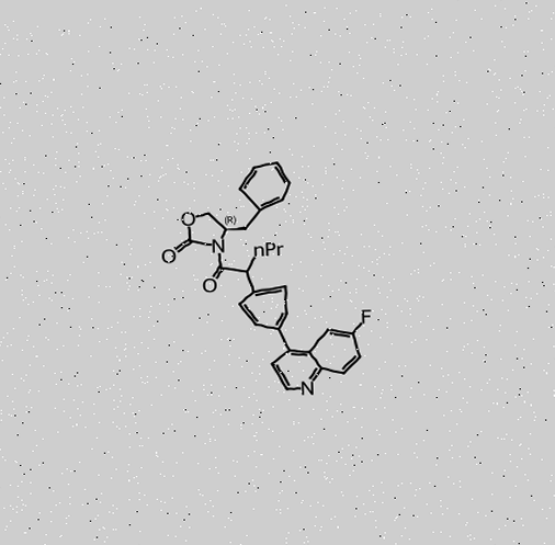 CCCC(C(=O)N1C(=O)OC[C@H]1Cc1ccccc1)c1ccc(-c2ccnc3ccc(F)cc23)cc1